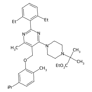 CCOC(=O)C(C)(C)N1CCN(c2nc(-c3c(CC)cccc3CC)nc(C)c2COc2cc(C(C)C)ccc2C)CC1